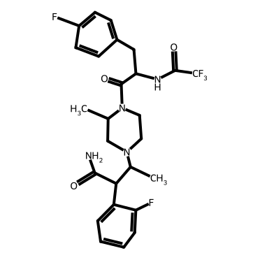 CC(C(C(N)=O)c1ccccc1F)N1CCN(C(=O)C(Cc2ccc(F)cc2)NC(=O)C(F)(F)F)C(C)C1